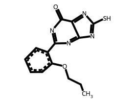 CCCOc1ccccc1C1=NC(=O)C2=NC(S)=NC2=N1